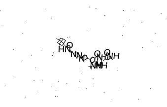 Cc1cc(C)c(CNC(=O)c2cc(-c3ccc(N4CCN(CCNC(=O)CC56CC7CC8(C)CC(C)(C5)C786)CC4)nc3)cc(NC(C)C)c2C=N)c(=O)[nH]1